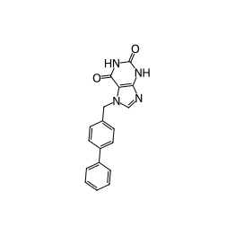 O=c1[nH]c(=O)c2c(ncn2Cc2ccc(-c3ccccc3)cc2)[nH]1